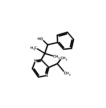 CC(C)c1nccnc1C(C)(C)C(O)c1ccccc1